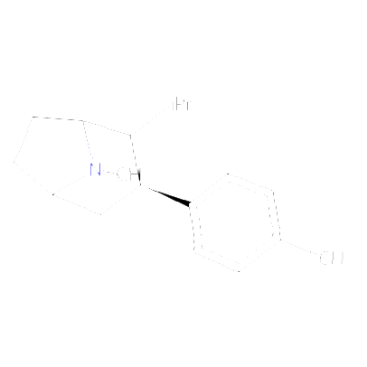 Cc1ccc([C@H]2CC3CCC(C2C(C)C)N3C)cc1